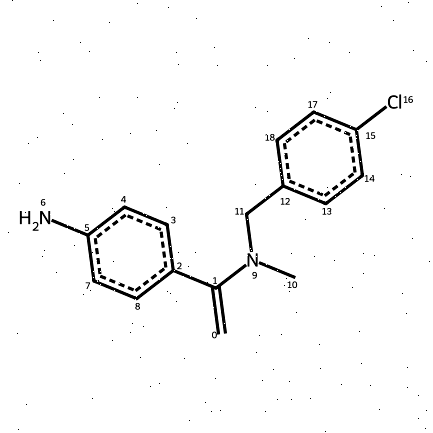 C=C(c1ccc(N)cc1)N(C)Cc1ccc(Cl)cc1